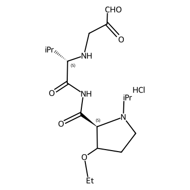 CCOC1CCN(C(C)C)[C@@H]1C(=O)NC(=O)[C@@H](NCC(=O)C=O)C(C)C.Cl